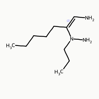 CCCCC/C(=C/N)N(N)CCC